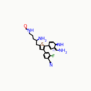 N#Cc1ccc(-c2cc(CC(N)CCCNC=O)sc2C2=C/C(=C/N)C(=N)C=C2)cc1F